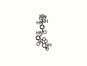 CC(C)(C)OC(=O)NNc1ccc(C(=O)NCc2cccc3c2C(=O)N(C2CCC(=O)NC2=O)C3=O)cc1